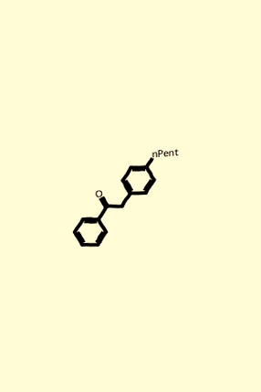 CCCCCc1ccc(CC(=O)c2ccccc2)cc1